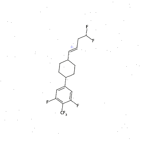 Fc1cc(C2CCC(/C=C/CC(F)F)CC2)cc(F)c1C(F)(F)F